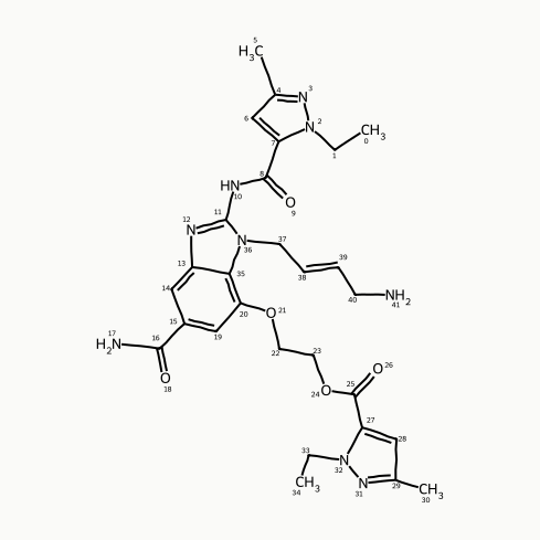 CCn1nc(C)cc1C(=O)Nc1nc2cc(C(N)=O)cc(OCCOC(=O)c3cc(C)nn3CC)c2n1C/C=C/CN